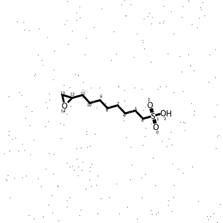 O=S(=O)(O)CCCCCCCCC1CO1